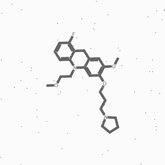 COCCN1c2cc(OCCCN3CCCC3)c(OC)cc2Cc2c(F)cccc21